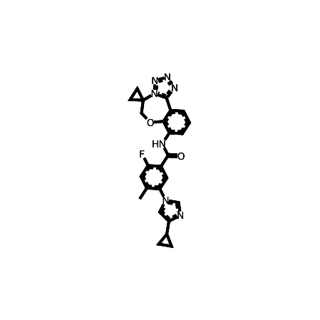 Cc1cc(F)c(C(=O)Nc2cccc3c2OCC2(CC2)n2nnnc2-3)cc1-n1cnc(C2CC2)c1